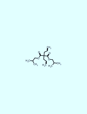 C=CCC(CC=C)(C(=O)OCC(C)C)C(=O)OCC(C)C